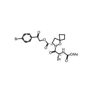 COC(=O)N[C@H](C(=O)N1OC2(CCC2)C[C@H]1C(=O)OCC(=O)c1ccc(Br)cc1)C(C)C